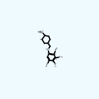 CCCCC1CCC(COc2cc(F)c(F)c(F)c2F)CC1